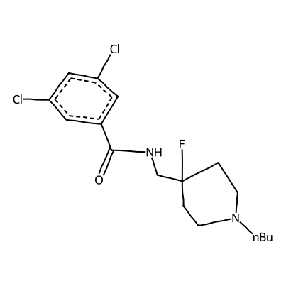 CCCCN1CCC(F)(CNC(=O)c2cc(Cl)cc(Cl)c2)CC1